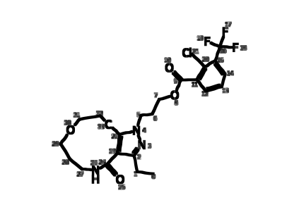 CCc1nn(CCCOC(=O)c2cccc(C(F)(F)F)c2Cl)c2c1C(=O)NCCCOCCC2